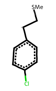 CSC[CH]c1ccc(Cl)cc1